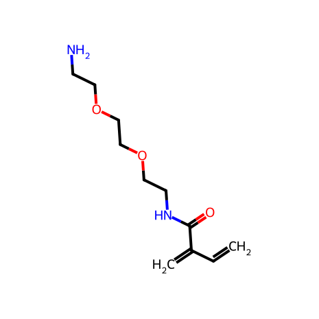 C=CC(=C)C(=O)NCCOCCOCCN